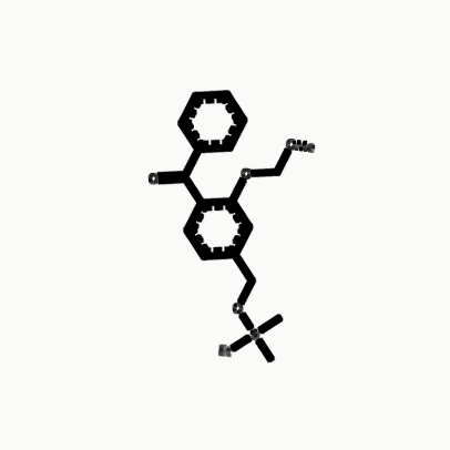 CC[Si](C)(C)OCc1ccc(C(=O)c2ccccc2)c(OCOC)c1